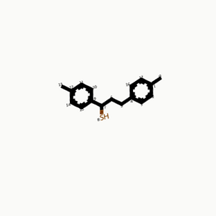 Cc1ccc(CCC(S)c2ccc(C)cc2)cc1